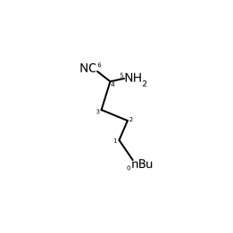 CCCCCCCC(N)C#N